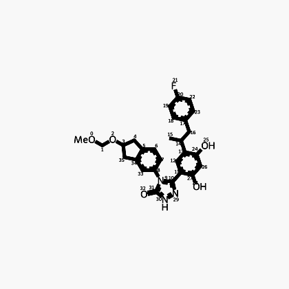 COCOC1Cc2ccc(-n3c(-c4cc(C(C)Cc5ccc(F)cc5)c(O)cc4O)n[nH]c3=O)cc2C1